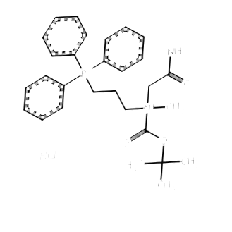 CC(C)(C)OC(=O)[N+](C)(CCC[P+](c1ccccc1)(c1ccccc1)c1ccccc1)CC(N)=O.Cl